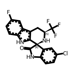 O=C1Nc2ccc(Cl)cc2[C@]12N[C@H](C(F)(F)F)Cc1c2[nH]c2ccc(F)cc12